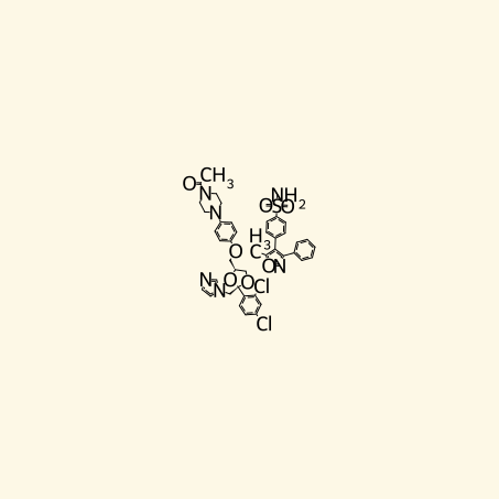 CC(=O)N1CCN(c2ccc(OC[C@H]3CO[C@](Cn4ccnc4)(c4ccc(Cl)cc4Cl)O3)cc2)CC1.Cc1onc(-c2ccccc2)c1-c1ccc(S(N)(=O)=O)cc1